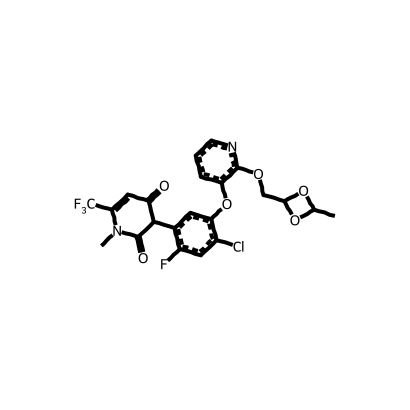 CC1OC(COc2ncccc2Oc2cc(C3C(=O)C=C(C(F)(F)F)N(C)C3=O)c(F)cc2Cl)O1